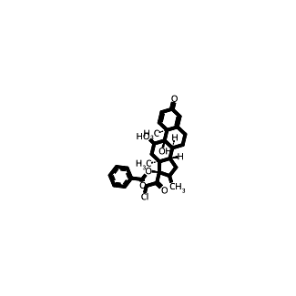 CC1C[C@H]2[C@@H]3CCC4=CC(=O)C=C[C@]4(C)[C@@]3(O)C(O)C[C@]2(C)[C@@]1(OC(=O)c1ccccc1)C(=O)CCl